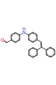 O=Cc1ccc(Nc2ccc(C=C(c3ccccc3)c3ccccc3)cc2)cc1